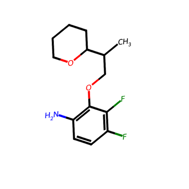 CC(COc1c(N)ccc(F)c1F)C1CCCCO1